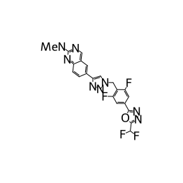 CNc1ncc2cc(-c3cn(Cc4c(F)cc(-c5nnc(C(F)F)o5)cc4F)nn3)ccc2n1